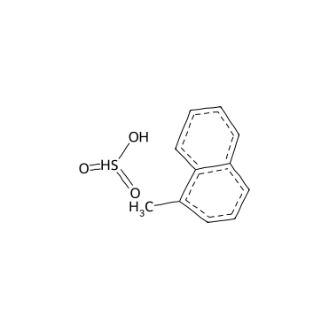 Cc1cccc2ccccc12.O=[SH](=O)O